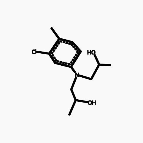 Cc1ccc(N(CC(C)O)CC(C)O)cc1Cl